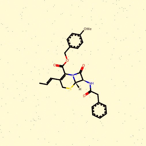 C/C=C/C1=C(C(=O)OCc2ccc(OC)cc2)N2C(=O)[C@@H](NC(=O)Cc3ccccc3)[C@@H]2SC1